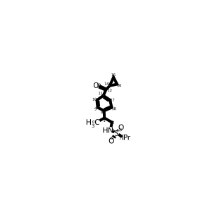 CC(CNS(=O)(=O)C(C)C)c1ccc(C(=O)C2CC2)cc1